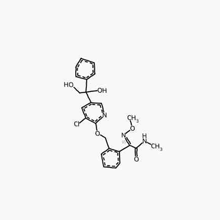 CNC(=O)/C(=N\OC)c1ccccc1COc1ncc(C(O)(CO)c2ccccc2)cc1Cl